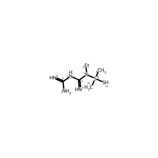 CCN(C(=N)NC(=N)N)S(C)(C)S